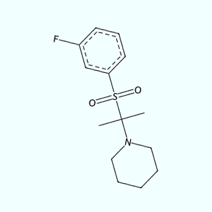 CC(C)(N1CCCCC1)S(=O)(=O)c1cccc(F)c1